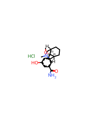 CO[C@@]1(c2cc(O)cc(C(N)=O)c2)[C@@H]2CCC[C@H]1CN(C)C2.Cl